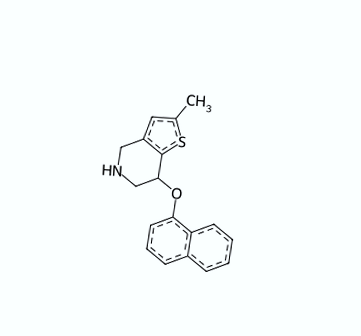 Cc1cc2c(s1)C(Oc1cccc3ccccc13)CNC2